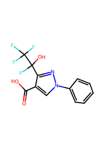 O=C(O)c1cn(-c2ccccc2)nc1C(O)(F)C(F)(F)F